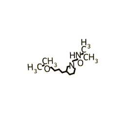 CC(C)NC(=O)CN1CCCC(CCCCOC(C)C)C1